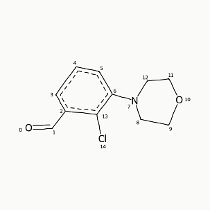 O=Cc1cccc(N2CCOCC2)c1Cl